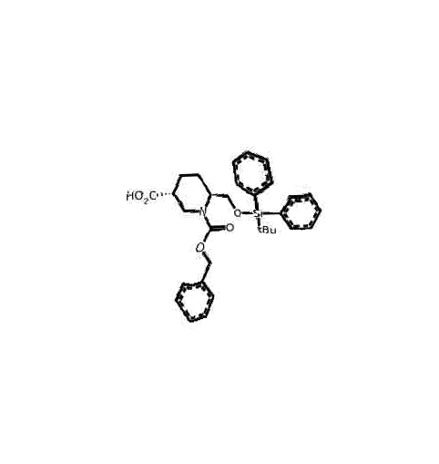 CC(C)(C)[Si](OC[C@@H]1CC[C@@H](C(=O)O)CN1C(=O)OCc1ccccc1)(c1ccccc1)c1ccccc1